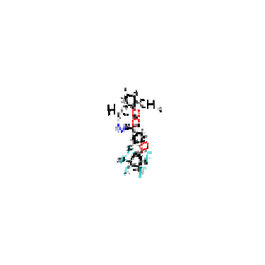 Cc1cccc(C)c1OCOC(C#N)c1ccc(Oc2c(F)c(F)c(F)c(F)c2F)cc1